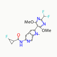 COc1nc(C(F)F)nc(OC)c1-c1cc2cc(NC(=O)C3CC3F)ncc2n1C